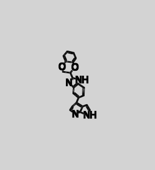 c1ccc2c(c1)OCC(c1nc3cc(-c4ccnc5[nH]ccc45)ccc3[nH]1)O2